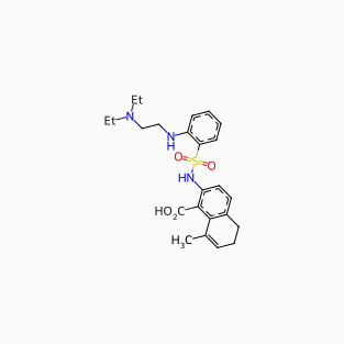 CCN(CC)CCNc1ccccc1S(=O)(=O)Nc1ccc2c(c1C(=O)O)C(C)=CCC2